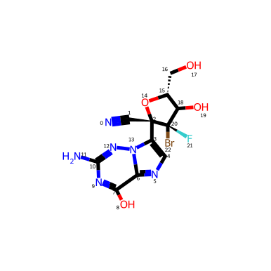 N#C[C@@]1(c2cnc3c(O)nc(N)nn23)O[C@H](CO)C(O)[C@]1(F)Br